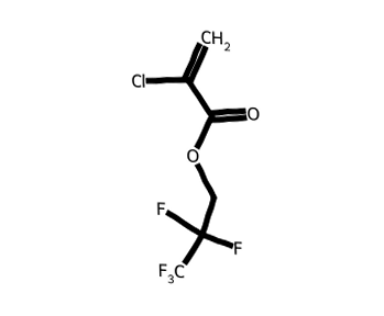 C=C(Cl)C(=O)OCC(F)(F)C(F)(F)F